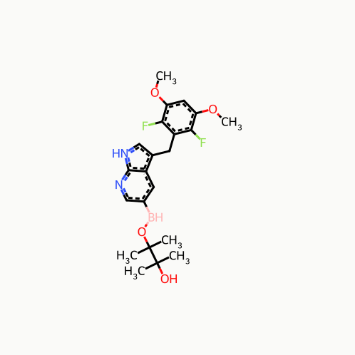 COc1cc(OC)c(F)c(Cc2c[nH]c3ncc(BOC(C)(C)C(C)(C)O)cc23)c1F